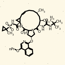 CCCOc1cnc(O[C@@H]2C[C@H]3C(=O)N[C@]4(C(=O)NS(=O)(=O)C5(C)CC5)CC4/C=C\CC[C@H](C)C[C@@H](C)[C@H](NC(=O)NC(C)(C)C(F)(F)F)C(=O)N3C2)c2ccccc12